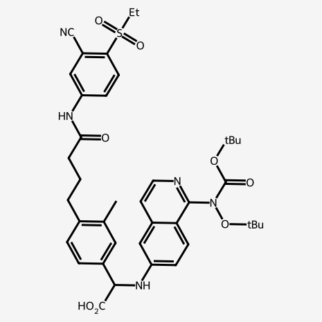 CCS(=O)(=O)c1ccc(NC(=O)CCCc2ccc(C(Nc3ccc4c(N(OC(C)(C)C)C(=O)OC(C)(C)C)nccc4c3)C(=O)O)cc2C)cc1C#N